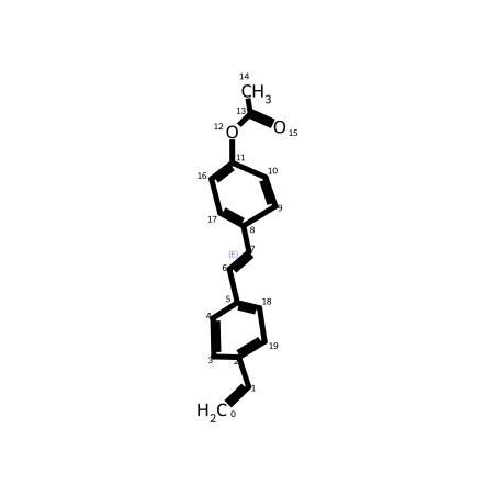 C=Cc1ccc(/C=C/c2ccc(OC(C)=O)cc2)cc1